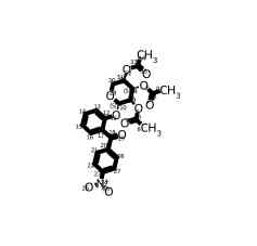 CC(=O)O[C@@H]1[C@@H](OC(C)=O)[C@H](Oc2ccccc2C(=O)c2ccc([N+](=O)[O-])cc2)OC[C@H]1OC(C)=O